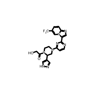 O=C(CO)N1CCN(c2ccnc(-c3cnc4ccc(C(F)(F)F)cn34)n2)CC1c1cn[nH]c1